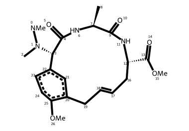 CNN(C)[C@@H]1C(=O)N[C@@H](C)C(=O)N[C@H](C(=O)OC)C/C=C/Cc2cc1ccc2OC